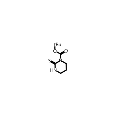 CC(C)(C)OC(=O)N1CCCNC1=S